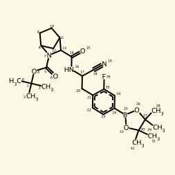 CC(C)(C)OC(=O)N1C2CCC(C2)C1C(=O)NC(C#N)Cc1ccc(B2OC(C)(C)C(C)(C)O2)cc1F